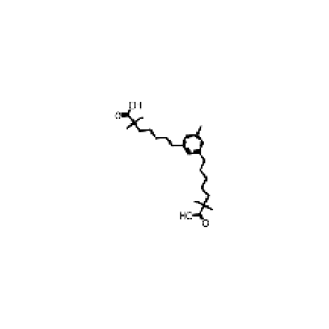 Cc1cc(CCCCCC(C)(C)C(=O)O)cc(CCCCCC(C)(C)C(=O)O)c1